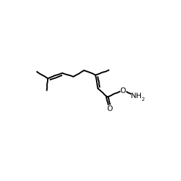 CC(C)=CCCC(C)=CC(=O)ON